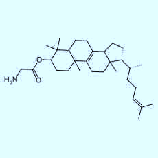 CC(C)=CCC[C@@H](C)[C@H]1CCC2C3=C(CCC21C)C1(C)CCC(OC(=O)CN)C(C)(C)C1CC3